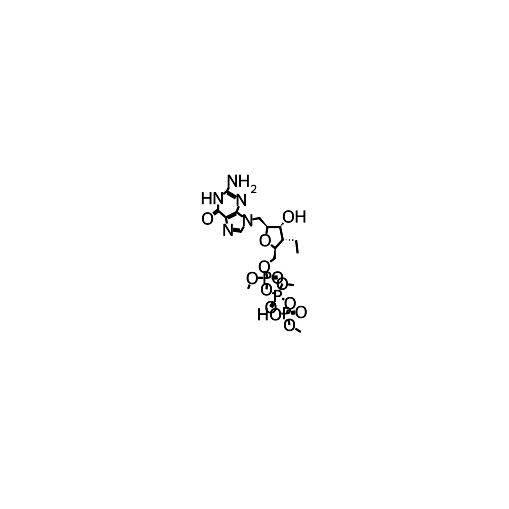 CC[C@H]1[C@@H](O)[C@H](Cn2cnc3c(=O)[nH]c(N)nc32)O[C@@H]1COP(=O)(OC)OP(=O)(OC)OP(=O)(O)OC